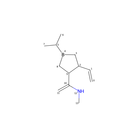 C=CC1CB(C(C)C)CC1C(=C)NC